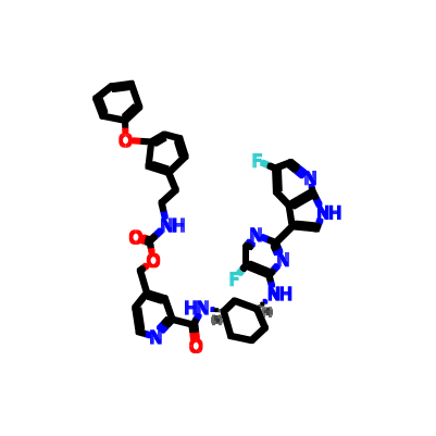 O=C(NCCc1cccc(Oc2ccccc2)c1)OCc1ccnc(C(=O)N[C@H]2CCC[C@@H](Nc3nc(-c4c[nH]c5ncc(F)cc45)ncc3F)C2)c1